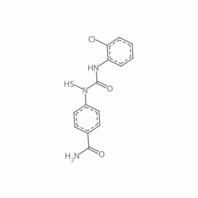 NC(=O)c1ccc(N(S)C(=O)Nc2ccccc2Cl)cc1